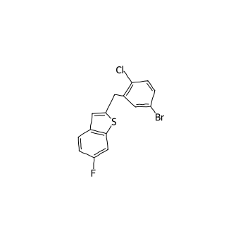 Fc1ccc2cc(Cc3cc(Br)ccc3Cl)sc2c1